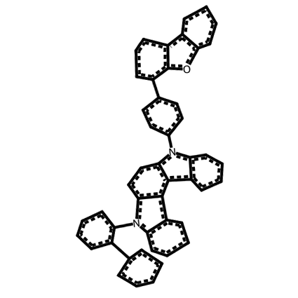 c1ccc(-c2ccccc2-n2c3ccccc3c3c4c5ccccc5n(-c5ccc(-c6cccc7c6oc6ccccc67)cc5)c4ccc32)cc1